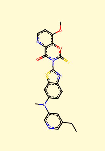 CCc1cncc(N(C)c2ccc3nc(-n4c(=S)oc5c(OC)ccnc5c4=O)sc3c2)c1